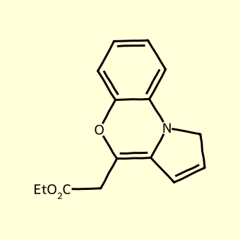 CCOC(=O)CC1=C2C=CCN2c2ccccc2O1